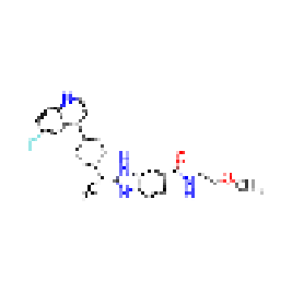 COCCNC(=O)c1ccc2nc([C@H](C)[C@H]3CC[C@H](c4ccnc5ccc(F)cc54)CC3)[nH]c2c1